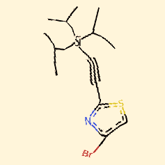 CC(C)[Si](C#Cc1nc(Br)cs1)(C(C)C)C(C)C